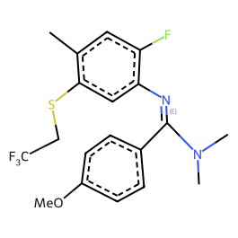 COc1ccc(/C(=N\c2cc(SCC(F)(F)F)c(C)cc2F)N(C)C)cc1